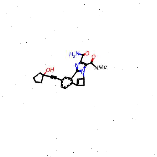 CNC(=O)c1c(C(N)=O)nc2n1C1C=C(C1)c1ccc(C#CC3(O)CCCC3)cc1-2